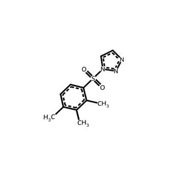 Cc1ccc(S(=O)(=O)n2ccnn2)c(C)c1C